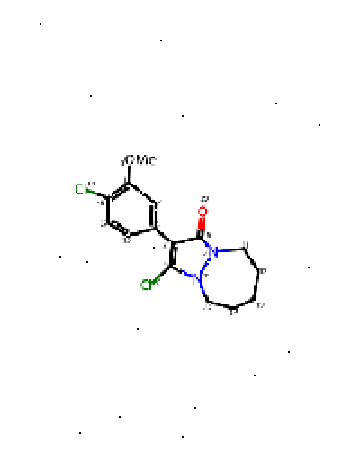 COc1cc(-c2c(Cl)n3n(c2=O)CCCCC3)ccc1Cl